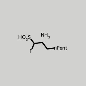 CCCCCCCC(F)S(=O)(=O)O.N